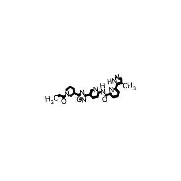 C=CC(=O)N1CCCC(c2nc(-c3ccc(NC(=O)c4cccc(-c5[nH]ncc5C)n4)nc3)no2)C1